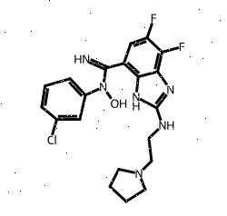 N=C(c1cc(F)c(F)c2nc(NCCN3CCCC3)[nH]c12)N(O)c1cccc(Cl)c1